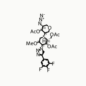 CO[C@H]1C[SH]([C@@H]2COC[C@H](N=[N+]=[N-])[C@H]2OC(C)=O)[C@H](COC(C)=O)[C@H](OC(C)=O)[C@H]1n1cc(-c2cc(F)c(F)c(F)c2)nn1